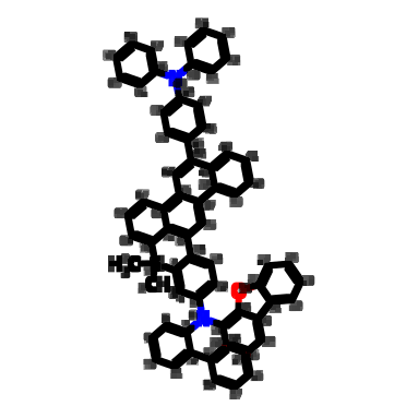 C[Si]1(C)c2cc(N(c3ccccc3-c3ccccc3)c3cccc4c3oc3ccccc34)ccc2-c2cc3c4ccccc4c(-c4ccc(N(c5ccccc5)c5ccccc5)cc4)cc3c3cccc1c23